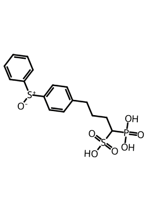 O=P(O)(O)C(CCCc1ccc([S+]([O-])c2ccccc2)cc1)S(=O)(=O)O